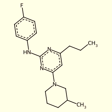 CCCc1cc(N2CCCC(C)C2)nc(Nc2ccc(F)cc2)n1